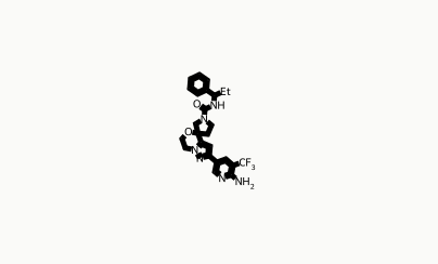 CCC(NC(=O)N1CCC2(C1)OCCn1nc(-c3cnc(N)c(C(F)(F)F)c3)cc12)c1ccccc1